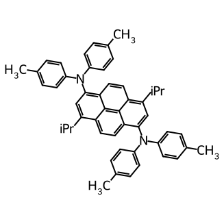 Cc1ccc(N(c2ccc(C)cc2)c2cc(C(C)C)c3ccc4c(N(c5ccc(C)cc5)c5ccc(C)cc5)cc(C(C)C)c5ccc2c3c54)cc1